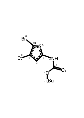 CCc1cc(NC(=O)OC(C)(C)C)sc1Br